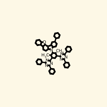 Cc1c(-c2nc(-c3ccccc3)nc(-c3ccccc3)n2)cc(-c2nc(-c3ccccc3)nc(-c3ccccc3)n2)c(C)c1-n1c2ccc(-c3ccccc3)cc2c2c3oc4ccccc4c3ccc21